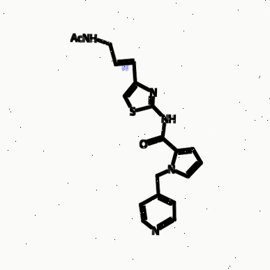 CC(=O)NC/C=C/c1csc(NC(=O)c2cccn2Cc2ccncc2)n1